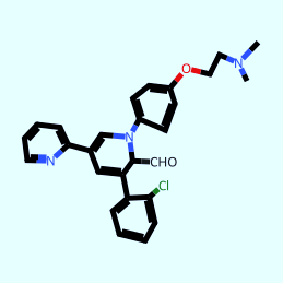 CN(C)CCOc1ccc(N2C=C(c3ccccn3)C=C(c3ccccc3Cl)C2C=O)cc1